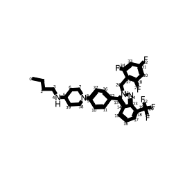 CCCCNC1CCN(c2ccc(-c3c4cccc(C(F)(F)F)c4nn3Cc3c(F)cc(F)cc3F)cc2)CC1